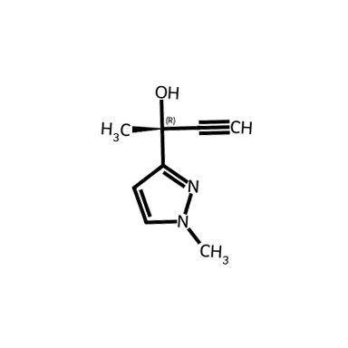 C#C[C@@](C)(O)c1ccn(C)n1